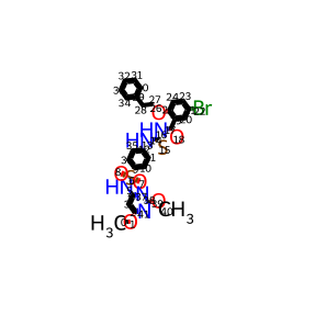 COc1cc(NS(=O)(=O)c2ccc(NC(=S)NC(=O)c3cc(Br)ccc3OCCc3ccccc3)cc2)nc(OC)n1